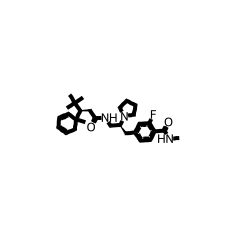 CNC(=O)c1ccc(C[C@@H](CNC(=O)C[C@H](C(C)(C)C)C2(C)C=CC=CC2)N2CCCC2)cc1F